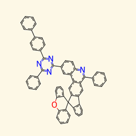 c1ccc(-c2ccc(-c3nc(-c4ccccc4)nc(-c4ccc5nc(-c6ccccc6)c6cc7c(cc6c5c4)C4(c5ccccc5Oc5ccccc54)c4ccccc4-7)n3)cc2)cc1